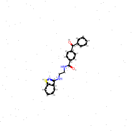 O=C(NCCNc1nsc2ccccc12)c1ccc(C(=O)c2ccccc2)cc1